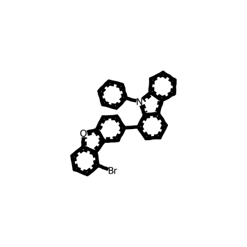 Brc1cccc2oc3ccc(-c4cccc5c6ccccc6n(-c6ccccc6)c45)cc3c12